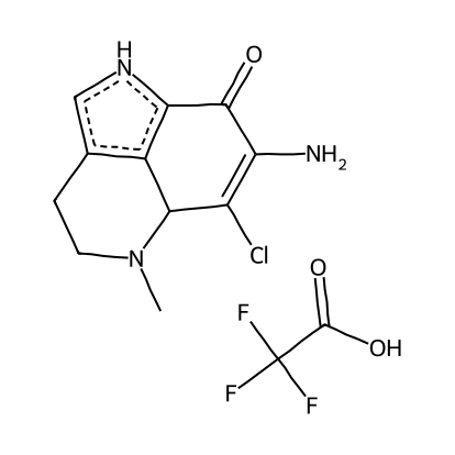 CN1CCc2c[nH]c3c2C1C(Cl)=C(N)C3=O.O=C(O)C(F)(F)F